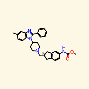 COC(=O)Nc1ccc2c(c1)C[C@H](CN1CCC(n3c(-c4ccccc4)nc4cc(C)ccc43)CC1)C2